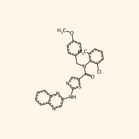 COc1ccc(CN(C(=O)c2cnc(Nc3cnc4ccccc4n3)s2)c2c(C)cccc2Cl)cc1